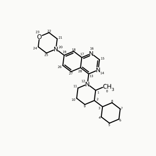 CC1C(C2CCCCC2)CCCN1c1ncnc2cc(N3CCOCC3)ccc12